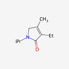 CCC1=C(C)CN(C(C)C)C1=O